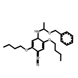 CCCCOC1=CC(NC(C)OCc2ccccc2)C(OCCCC)=CC1=[N+]=[N-]